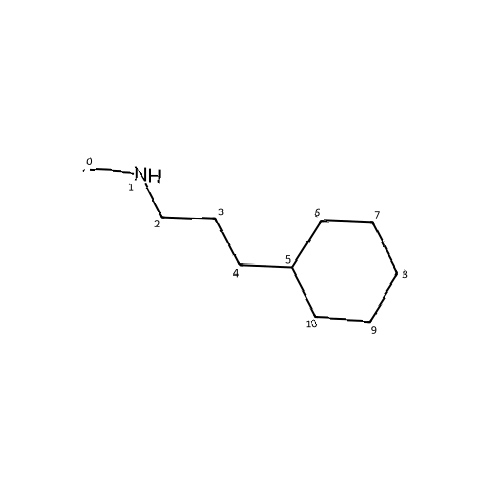 [CH2]NCCCC1CCCCC1